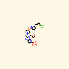 O=C(O)c1ccc2nc(CN3CCC(Oc4cccc(Cc5ccc(Cl)s5)n4)CC3)n(C[C@@H]3CCO3)c2n1